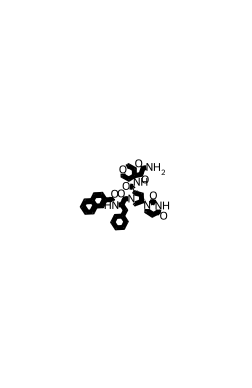 NC(=O)C(=O)C1(NC(=O)[C@@H]2C[C@H](n3ccc(=O)[nH]c3=O)CN2C(=O)C(CC2CCCCC2)NC(=O)c2ccc3ccccc3c2)CCOCC1